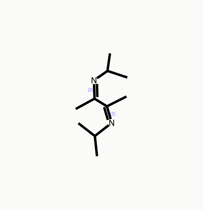 CC(=N/C(C)C)/C(C)=N\C(C)C